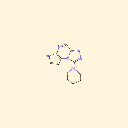 c1cc2c(ncc3nnc(N4CCCCC4)n32)[nH]1